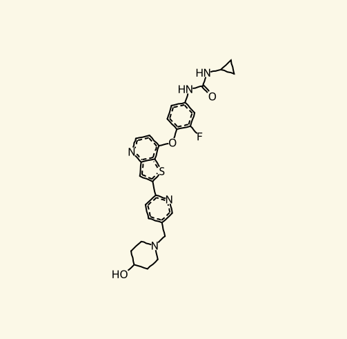 O=C(Nc1ccc(Oc2ccnc3cc(-c4ccc(CN5CCC(O)CC5)cn4)sc23)c(F)c1)NC1CC1